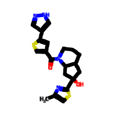 Cc1csc(C2(O)CC3CCCN(C(=O)c4csc(-c5cn[nH]c5)c4)C3C2)n1